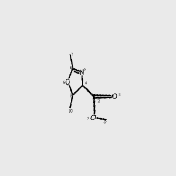 COC(=O)C1N=C(C)OC1C